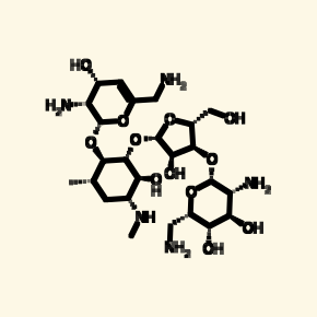 CN[C@@H]1C[C@H](C)[C@@H](O[C@H]2OC(CN)=C[C@@H](O)[C@H]2N)[C@H](O[C@@H]2O[C@H](CO)[C@@H](O[C@H]3O[C@@H](CN)[C@@H](O)[C@H](O)[C@H]3N)[C@H]2O)[C@H]1O